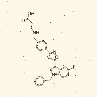 O=C(O)CCNCc1ccc(-c2noc(-c3cn(Cc4ccccc4)c4ccc(F)cc34)n2)cc1